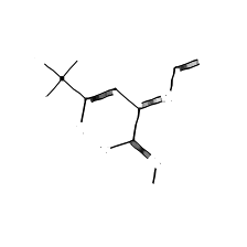 C=C/N=C(\C=C(/N)C(F)(F)C(F)(F)F)C(/N)=N/O